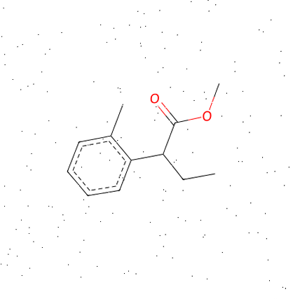 CCC(C(=O)OC)c1ccccc1C